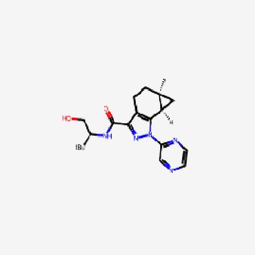 CC(C)(C)[C@@H](CO)NC(=O)c1nn(-c2cnccn2)c2c1CC[C@@]1(C)C[C@@H]21